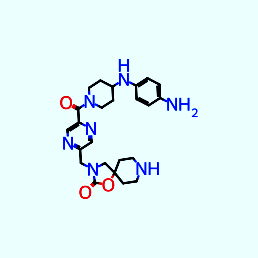 Nc1ccc(NC2CCN(C(=O)c3cnc(CN4CC5(CCNCC5)OC4=O)cn3)CC2)cc1